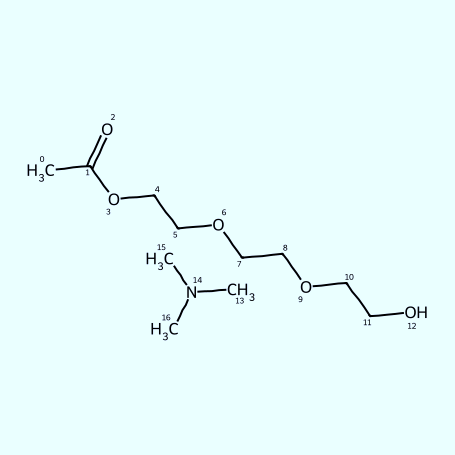 CC(=O)OCCOCCOCCO.CN(C)C